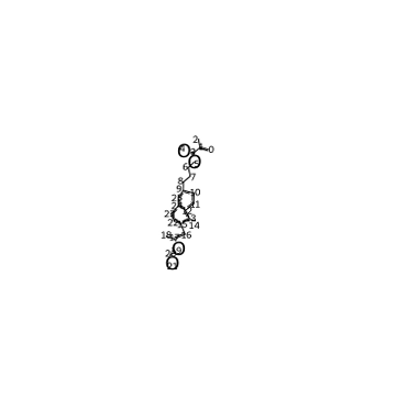 C=C(C)C(=O)OCCCc1ccc2c(C)c(/C=C(\C)OC=O)ccc2c1